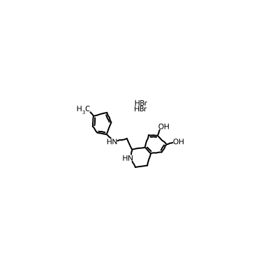 Br.Br.Cc1ccc(NCC2NCCc3cc(O)c(O)cc32)cc1